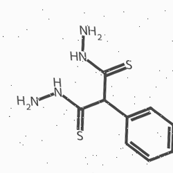 NNC(=S)C(C(=S)NN)c1ccccc1